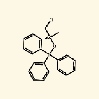 C[Si](C)(CCl)O[Si](c1ccccc1)(c1ccccc1)c1ccccc1